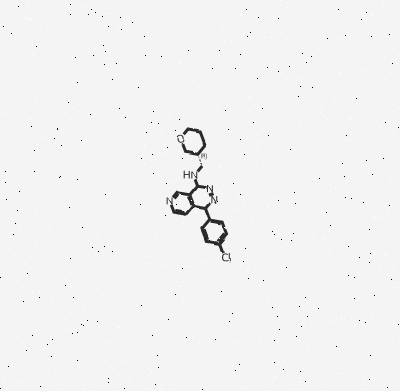 Clc1ccc(C2N=NC(NC[C@H]3CCCOC3)c3cnccc32)cc1